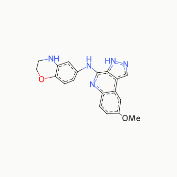 COc1ccc2nc(Nc3ccc4c(c3)NCCO4)c3[nH]ncc3c2c1